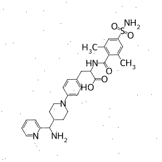 Cc1cc(S(N)(=O)=O)cc(C)c1C(=O)NC(Cc1ccc(N2CCC(C(N)c3ccccn3)CC2)cc1)C(=O)O